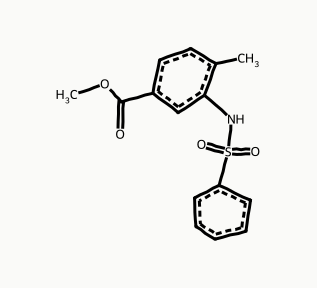 COC(=O)c1ccc(C)c(NS(=O)(=O)c2ccccc2)c1